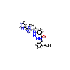 C#Cc1ccccc1CNC(=O)c1cccc(NCc2nnc(-c3ccncn3)n2C)c1